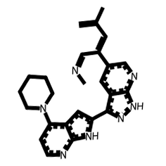 C=C(C)/C=C(\C=N/C)c1cnc2[nH]nc(-c3cc4c(N5CCCCC5)ccnc4[nH]3)c2c1